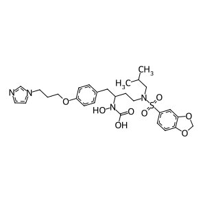 CC(C)CN(CCC(Cc1ccc(OCCCn2ccnc2)cc1)N(O)C(=O)O)S(=O)(=O)c1ccc2c(c1)OCO2